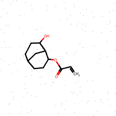 C=CC(=O)OC1CCC2CCC(O)C1C2